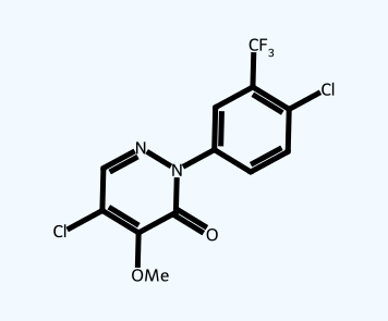 COc1c(Cl)cnn(-c2ccc(Cl)c(C(F)(F)F)c2)c1=O